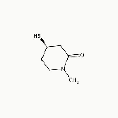 CN1CC[C@@H](S)CC1=O